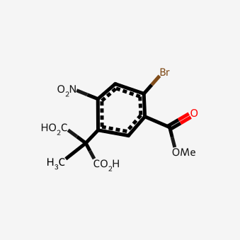 COC(=O)c1cc(C(C)(C(=O)O)C(=O)O)c([N+](=O)[O-])cc1Br